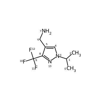 CC(C)n1cc(CN)c(C(F)(F)F)n1